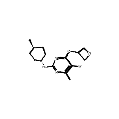 Cc1nc(N[C@H]2CC[C@H](C)CC2)nc(OC2COC2)c1Br